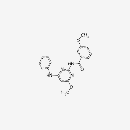 COc1cccc(C(=O)Nc2nc(Nc3ccccc3)cc(OC)n2)c1